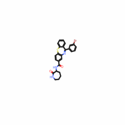 O=C(NC1CCCCNC1=O)c1ccc2c(c1)N=C(c1cccc(Br)c1)c1ccccc1S2